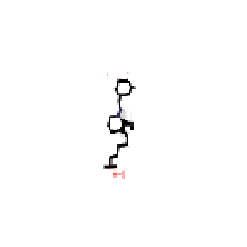 C[C@H](CCCC(C)(C)O)[C@H]1CC[C@H]2/C(=C/C=C3C[C@@H](O)C(P)[C@H](O)C3)CCC[C@]12C